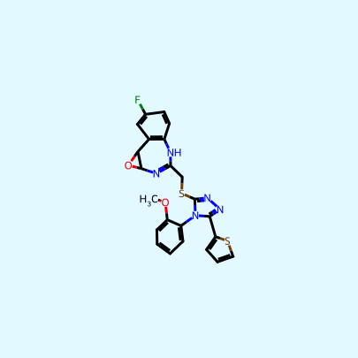 COc1ccccc1-n1c(SCC2=NC3OC3c3cc(F)ccc3N2)nnc1-c1cccs1